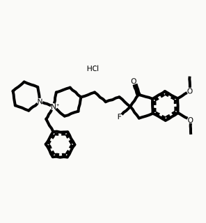 COc1cc2c(cc1OC)C(=O)C(F)(CCCC1CC[N+](Cc3ccccc3)(N3CCCCC3)CC1)C2.Cl